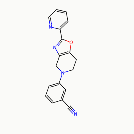 N#Cc1cccc(N2CCc3oc(-c4ccccn4)nc3C2)c1